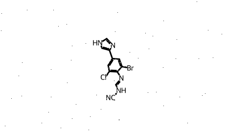 N#CNC=Nc1c(Cl)cc(-c2c[nH]cn2)cc1Br